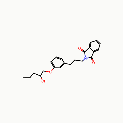 CCCC(O)COc1cccc(CCCN2C(=O)c3ccccc3C2=O)c1